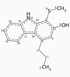 CCCc1cc(O)c(SC)c2[nH]c3ccccc3c12